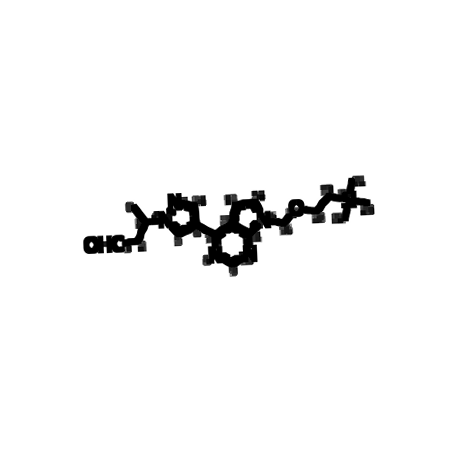 CC(CC=O)n1cc(-c2ncnc3c2ccn3COCC[Si](C)(C)C)cn1